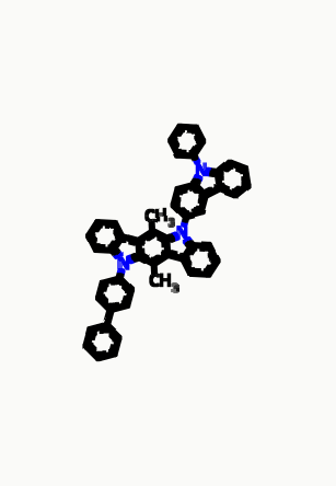 Cc1c2c3ccccc3n(-c3ccc4c(c3)c3ccccc3n4-c3ccccc3)c2c(C)c2c3ccccc3n(-c3ccc(-c4ccccc4)cc3)c12